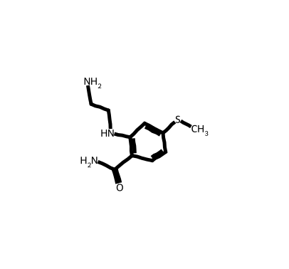 CSc1ccc(C(N)=O)c(NCCN)c1